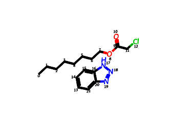 CCCCCCCCOC(=O)CCl.c1ccc2[nH]nnc2c1